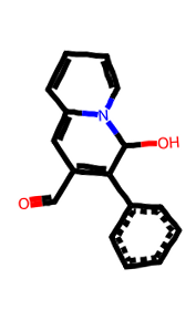 O=CC1=C(c2ccccc2)C(O)N2C=CC=CC2=C1